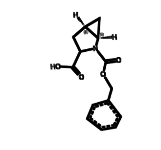 O=C(O)C1C[C@H]2C[C@H]2N1C(=O)OCc1ccccc1